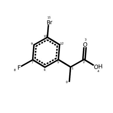 CC(C(=O)O)c1cc(F)cc(Br)c1